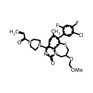 C=CC(=O)N1CCN(c2nc(=O)n3c4c(c(-c5cc(Cl)c(F)cc5F)c(C)cc24)SCC(OCOC)C3)CC1